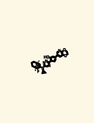 C[C@@]12CCC[C@@](C)(N1)[C@@H](F)[C@@H](N(c1cnc(-c3ccc(-c4cnc5c(c4)OCCO5)cc3O)nn1)C1CC1)C2